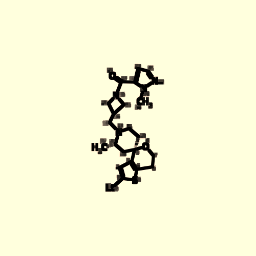 CCc1cc2c(s1)CCO[C@@]21CCN(CC2CN(C(=O)c3ccnn3C)C2)[C@@H](C)C1